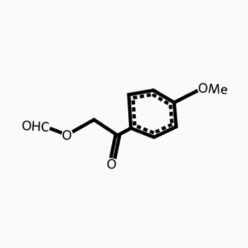 COc1ccc(C(=O)COC=O)cc1